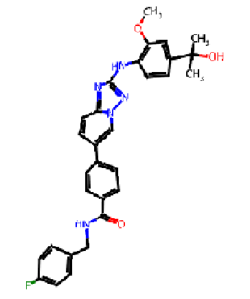 COc1cc(C(C)(C)O)ccc1Nc1nc2ccc(-c3ccc(C(=O)NCc4ccc(F)cc4)cc3)cn2n1